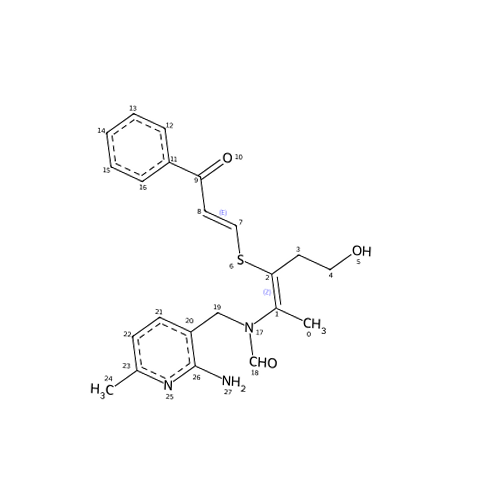 C/C(=C(\CCO)S/C=C/C(=O)c1ccccc1)N(C=O)Cc1ccc(C)nc1N